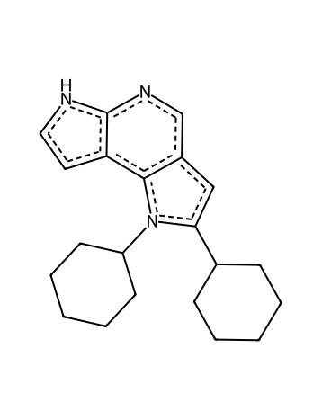 c1cc2c(ncc3cc(C4CCCCC4)n(C4CCCCC4)c32)[nH]1